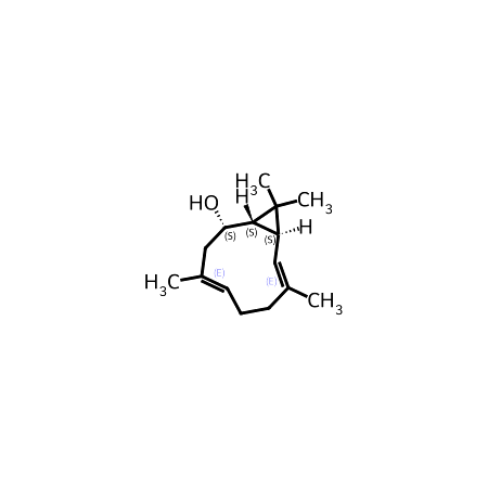 C/C1=C\[C@H]2[C@H]([C@@H](O)C/C(C)=C/CC1)C2(C)C